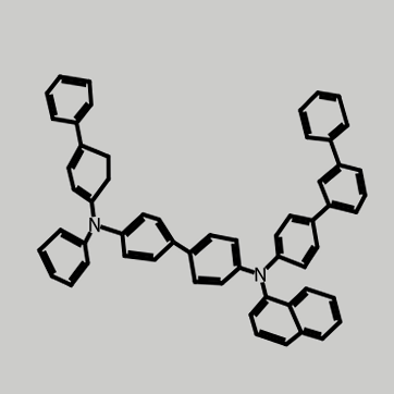 C1=C(c2ccccc2)CCC(N(c2ccccc2)c2ccc(-c3ccc(N(c4ccc(-c5cccc(-c6ccccc6)c5)cc4)c4cccc5ccccc45)cc3)cc2)=C1